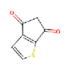 O=C1CC(=O)c2sccc21